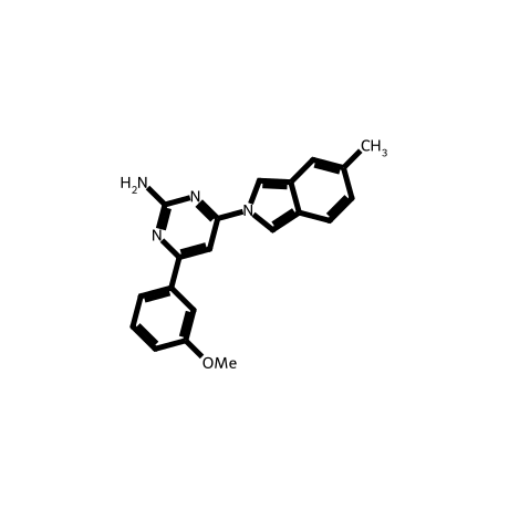 COc1cccc(-c2cc(-n3cc4ccc(C)cc4c3)nc(N)n2)c1